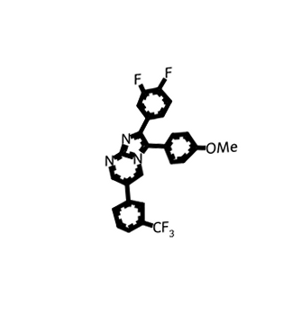 COc1ccc(-c2c(-c3ccc(F)c(F)c3)nc3ncc(-c4cccc(C(F)(F)F)c4)cn23)cc1